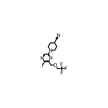 N#CC1CCN(c2cnc(I)c(COCC(F)(F)F)n2)CC1